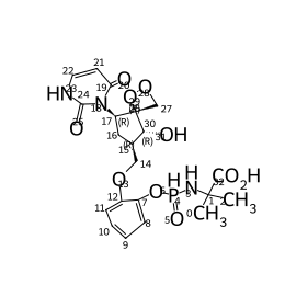 CC(C)(N[PH](=O)Oc1ccccc1OC[C@H]1C[C@@H](n2c(=O)cc[nH]c2=O)[C@@]2(COO2)[C@@H]1O)C(=O)O